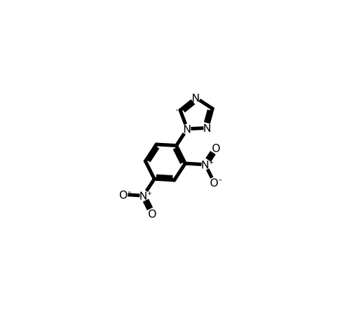 O=[N+]([O-])c1ccc(-n2[c]ncn2)c([N+](=O)[O-])c1